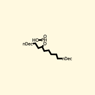 CCCCCCCCCCCCCCCC(CCCCCCCCCCCC)O[PH](=O)O